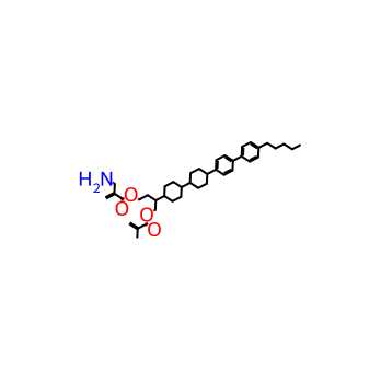 C=C(C)C(=O)OCC(CCOC(=O)C(=C)CN)C1CCC(C2CCC(c3ccc(-c4ccc(CCCCC)cc4)cc3)CC2)CC1